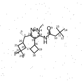 C[C@H](c1nn(C)c(NC(=O)CC(C)(C)C)c1C1CCC1)C1CC(F)(F)C1